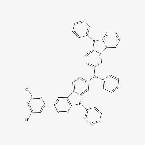 Clc1cc(Cl)cc(-c2ccc3c(c2)c2ccc(N(c4ccccc4)c4ccc5c(c4)c4ccccc4n5-c4ccccc4)cc2n3-c2ccccc2)c1